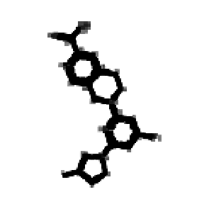 CC1CCN(c2cc(F)cc(N3CCc4cc(C(=O)O)ncc4C3)n2)C1